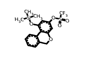 C[Si](C)(C)Oc1cc(OS(=O)(=O)C(F)(F)F)cc2c1-c1ccccc1CO2